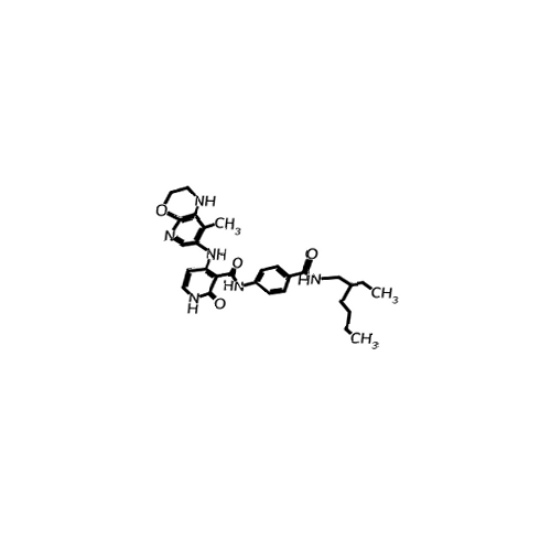 CCCCC(CC)CNC(=O)c1ccc(NC(=O)c2c(Nc3cnc4c(c3C)NCCO4)cc[nH]c2=O)cc1